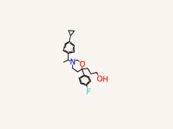 CC(c1ccc(C2CC2)cc1)N1CCC(CCCO)(c2ccc(F)cc2)OC1